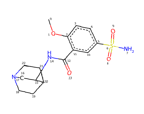 COc1ccc(S(N)(=O)=O)cc1C(=O)NC1CN2CCC1CC2